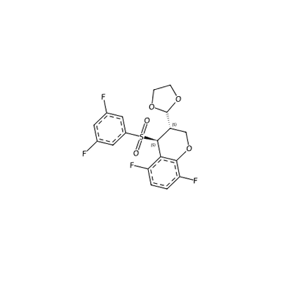 O=S(=O)(c1cc(F)cc(F)c1)[C@@H]1c2c(F)ccc(F)c2OC[C@H]1C1OCCO1